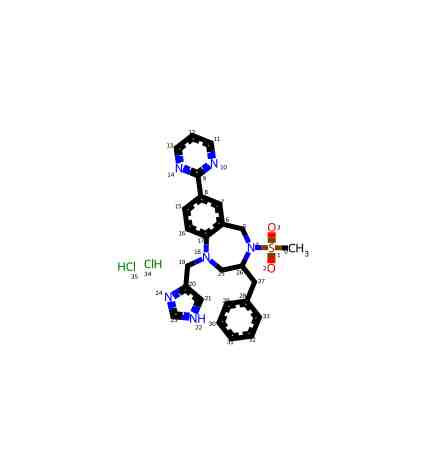 CS(=O)(=O)N1Cc2cc(-c3ncccn3)ccc2N(Cc2c[nH]cn2)CC1Cc1ccccc1.Cl.Cl